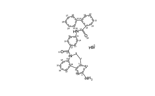 Br.Nc1nc2c(s1)CCN(C(=O)c1ccc(NC(=O)c3ccccc3-c3ccccc3)cc1)c1ccccc1-2